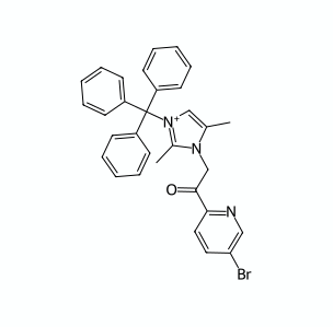 Cc1c[n+](C(c2ccccc2)(c2ccccc2)c2ccccc2)c(C)n1CC(=O)c1ccc(Br)cn1